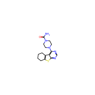 NC(=O)N1CCN(c2ncnc3sc4c(c23)CCCC4)CC1